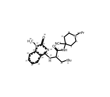 CCCN1CCC(C#N)(NC(=O)C(CC(C)(C)C)Nc2nc(=O)n(C)c3ccccc23)CC1